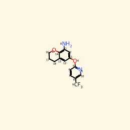 Nc1cc(Oc2ccc(C(F)(F)F)cn2)cc2c1OCCC2